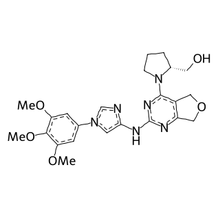 COc1cc(-n2cnc(Nc3nc4c(c(N5CCC[C@@H]5CO)n3)COC4)c2)cc(OC)c1OC